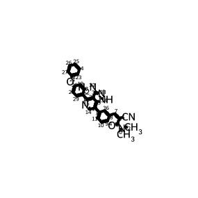 CN(C)C(=O)C(C#N)=Cc1cccc(-c2cnc(-c3ccc(Oc4ccccc4)cc3)c3c(N)n[nH]c23)c1